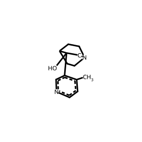 Cc1ccncc1C1(O)CN2CCC1CC2